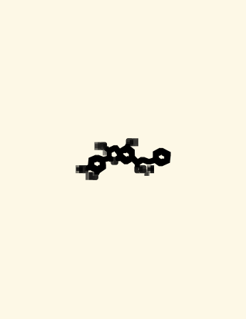 O=C(O)C(CCc1ccccc1)c1cc(O)c2c(c1)OC(c1ccc(O)c(O)c1)[C@@H](O)C2